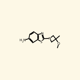 COC1(C)CN(c2nc3ccc(N)cc3s2)C1